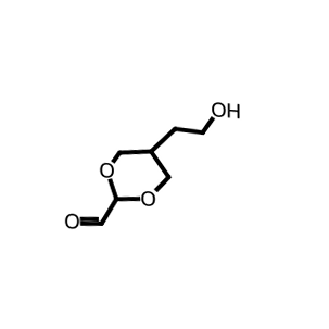 O=CC1OCC(CCO)CO1